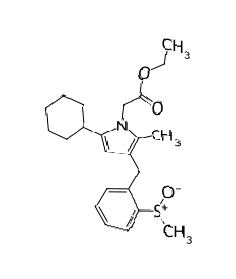 CCOC(=O)Cn1c(C2CCCCC2)cc(Cc2ccccc2[S+](C)[O-])c1C